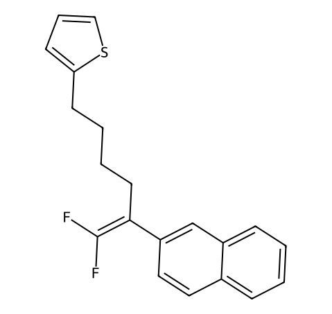 FC(F)=C(CCCCc1cccs1)c1ccc2ccccc2c1